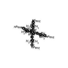 CCCCCC1CCC(COc2c(C)cc(-c3ccc(Sc4ccc(Sc5ccc(-c6cc(C)c(OCC7CCC(CCCCC)CC7)c(C)c6)cc5)c5c4C(=O)c4c(Nc6cc(C)c(C(=O)OC7CCC(CCCCC)CC7)c(C)c6)ccc(Nc6cc(C)c(C(=O)OC7CCC(CCCCC)CC7)c(C)c6)c4C5=O)cc3)cc2C)CC1